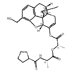 C[C@H](NC(=O)C1CCCC1)C(=O)O[C@@H](C)C(=O)OC1=CC[C@@]2(O)[C@H]3Cc4ccc(CO)c5c4[C@@]2(CCN3C)[C@H]1O5